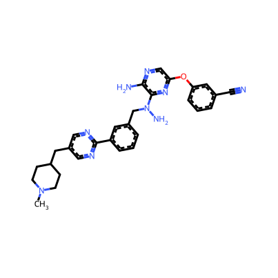 CN1CCC(Cc2cnc(-c3cccc(CN(N)c4nc(Oc5cccc(C#N)c5)cnc4N)c3)nc2)CC1